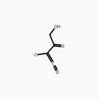 O=C=C(Cl)C(=O)CO